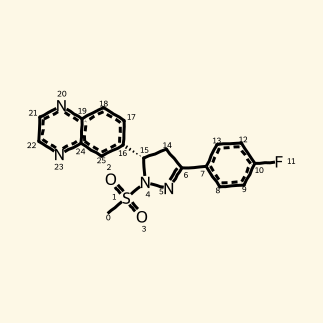 CS(=O)(=O)N1N=C(c2ccc(F)cc2)C[C@H]1c1ccc2nccnc2c1